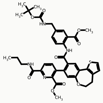 CCCNC(=O)c1ccc(-c2cc3c(cc2C(=O)Nc2ccc(CNC(=O)OC(C)(C)C)cc2C(=O)OC)-c2sccc2CCO3)c(C(=O)OC)n1